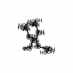 COCCCOCC(CO)COCCCOP(=O)(O)OCC(COCCCOP(=O)(O)OCCCCCCO[C@@H]1OC(CO)[C@H](O)C(O)[C@@H]1NC(C)=O)(COCCCOP(=O)(O)OCCCCCCO[C@@H]1OC(CO)[C@H](O)C(O)[C@@H]1NC(C)=O)COCCCOP(O)(=P)OCCCCCCO[C@@H]1OC(CO)[C@H](O)[C@H](O)C1NC(C)=O